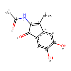 CCCCCCC1=C(NC(=O)CCCC)C(=O)c2cc(O)c(O)cc21